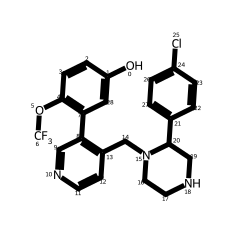 Oc1ccc(OC(F)(F)F)c(-c2cnccc2CN2CCNCC2c2ccc(Cl)cc2)c1